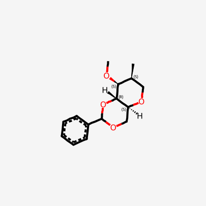 CO[C@@H]1[C@H]2OC(c3ccccc3)OC[C@@H]2OC[C@@H]1C